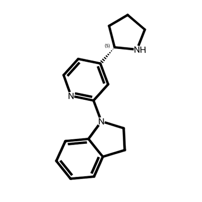 c1ccc2c(c1)CCN2c1cc([C@@H]2CCCN2)ccn1